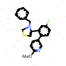 COc1ccc(-c2ccc(F)cc2C2=CS[CH]N2Cc2ccccc2)cn1